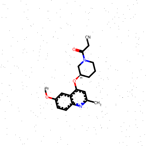 Cc1cc(O[C@@H]2CCCN(C(=O)CC#N)C2)c2cc(OC(C)C)ccc2n1